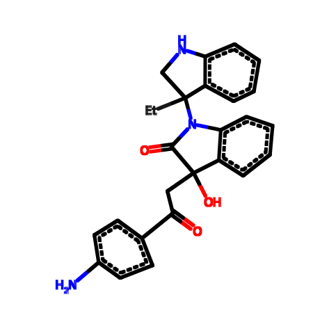 CCC1(N2C(=O)C(O)(CC(=O)c3ccc(N)cc3)c3ccccc32)CNc2ccccc21